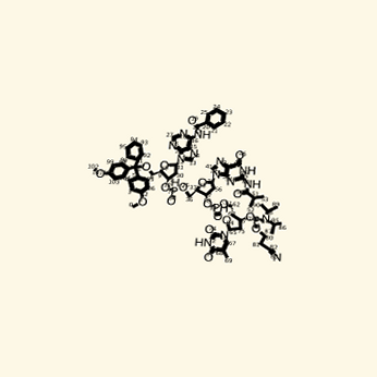 COc1ccc(C(OC[C@H]2O[C@@H](n3cnc4c(NC(=O)c5ccccc5)ncnc43)C[C@@H]2O[PH](=O)OC[C@H]2O[C@@H](n3cnc4c(=O)[nH]c(NC(=O)C(C)C)nc43)C[C@@H]2O[PH](=O)OC[C@H]2O[C@@H](n3cc(C)c(=O)[nH]c3=O)C[C@@H]2OP(OCCC#N)N(C(C)C)C(C)C)(c2ccccc2)c2ccc(OC)cc2)cc1